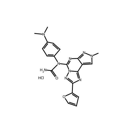 CN(C)c1ccc(N(C(N)=O)c2nc3nn(C)cc3c3nc(-c4ccco4)nn23)cc1.Cl